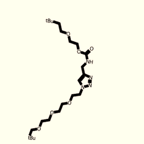 CC(C)(C)CCOCCOC(=O)NCc1cn(CCOCCOCCOCC(C)(C)C)nn1